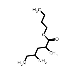 CCCCOC(=O)C(C)CC(N)CN